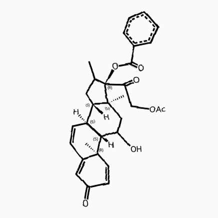 CC(=O)OCC(=O)[C@@]1(OC(=O)c2ccccc2)C(C)C[C@H]2[C@@H]3C=CC4=CC(=O)C=C[C@]4(C)[C@H]3C(O)C[C@@]21C